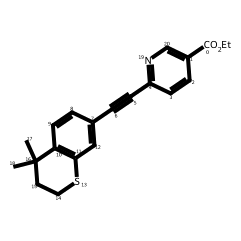 CCOC(=O)c1ccc(C#Cc2ccc3c(c2)SCCC3(C)C)nc1